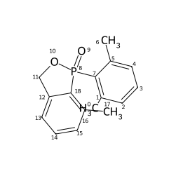 Cc1cccc(C)c1P1(=O)OCc2cccc(C)c21